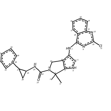 CC1(C)c2[nH]nc(Nc3nc(Cl)nc4ccccc34)c2CN1C(=O)NC1CC1c1ccccc1